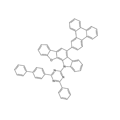 c1ccc(-c2ccc(-c3nc(-c4ccccc4)nc(-n4c5ccccc5c5c(-c6ccc7c8ccccc8c8ccccc8c7c6)cc6c7ccccc7oc6c54)n3)cc2)cc1